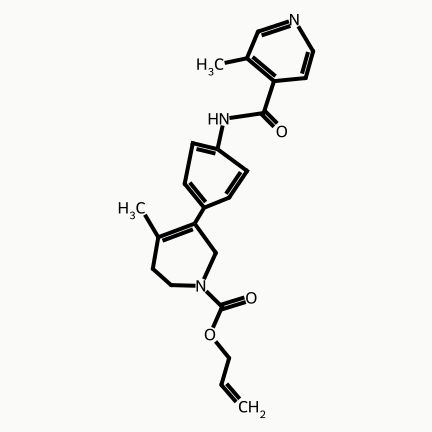 C=CCOC(=O)N1CCC(C)=C(c2ccc(NC(=O)c3ccncc3C)cc2)C1